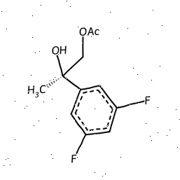 CC(=O)OC[C@](C)(O)c1cc(F)cc(F)c1